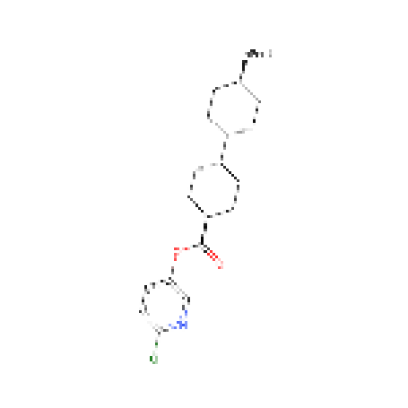 CCCCC[C@H]1CC[C@H]([C@H]2CC[C@H](C(=O)Oc3ccc(Cl)nc3)CC2)CC1